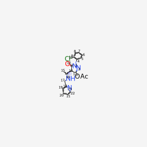 CC(=O)OC1=NN(c2ccccc2Cl)C(=O)/C1=C(\C)NCc1ccccn1